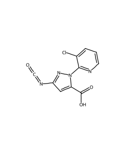 O=C=Nc1cc(C(=O)O)n(-c2ncccc2Cl)n1